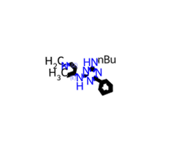 C=N/C=C\C(=C/C)Nc1nc(NCCCC)nc(-c2ccccc2)n1